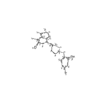 Cn1c(=O)cc(N2CCN(Cc3ccc(Br)cc3O)CC2)c2ncccc21